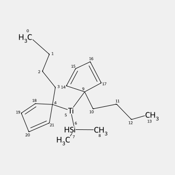 CCCC[C]1([Ti]([SiH](C)C)[C]2(CCCC)C=CC=C2)C=CC=C1